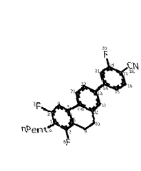 CCCCCc1c(F)cc2c(c1F)CCc1cc(-c3ccc(C#N)c(F)c3)ccc1-2